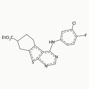 CCOC(=O)C1CCc2c(sc3ncnc(Nc4ccc(F)c(Cl)c4)c23)C1